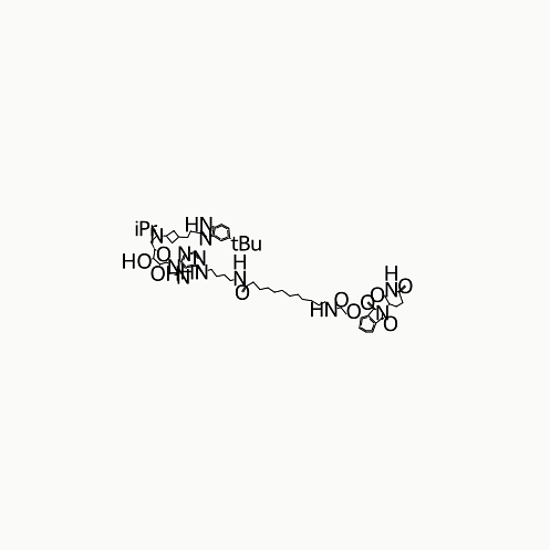 CC(C)N(C[C@H]1O[C@@H](n2cnc3c(NCCCCNC(=O)CCCCCCCCCCCNC(=O)COc4cccc5c4C(=O)N(C4CCC(=O)NC4=O)C5=O)ncnc32)[C@H](O)[C@@H]1O)C1CC(CCc2nc3cc(C(C)(C)C)ccc3[nH]2)C1